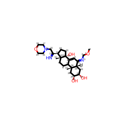 COC/N=C1\C=C2C(CC[C@]3(C)[C@@H](C(=N)CN4CCOCC4)CC[C@@]23O)[C@@]2(C)C[C@H](O)[C@H](O)C[C@@H]12